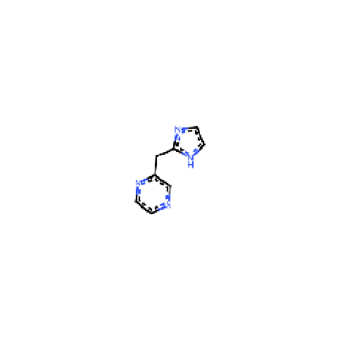 c1cnc(Cc2ncc[nH]2)cn1